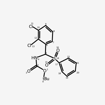 CC(C)(C)OC(=O)NC(c1cccc(Cl)c1Cl)S(=O)(=O)c1ccccc1